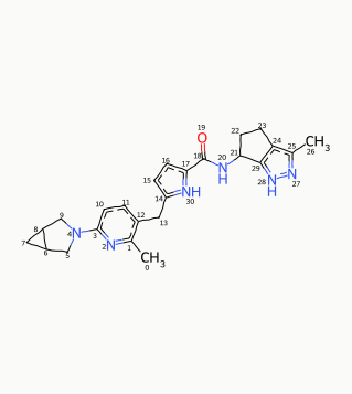 Cc1nc(N2CC3CC3C2)ccc1Cc1ccc(C(=O)NC2CCc3c(C)n[nH]c32)[nH]1